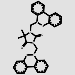 CC1(C)C(=O)N(CP2Oc3ccccc3-c3ccccc32)C(=O)N1CP1Oc2ccccc2-c2ccccc21